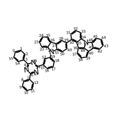 c1ccc(-c2nc(-c3ccccc3)nc(-c3cccc(-n4c5ccccc5c5cc(-c6cccc7c6c6cccc8c9ccccc9n7c86)ccc54)c3)n2)cc1